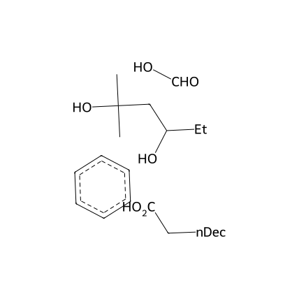 CCC(O)CC(C)(C)O.CCCCCCCCCCCC(=O)O.O=CO.c1ccccc1